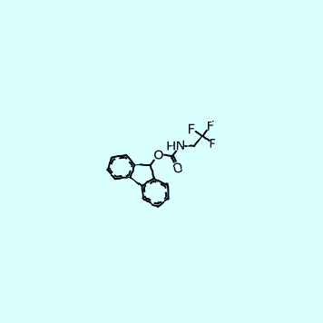 O=C(NCC(F)(F)F)OC1c2ccccc2-c2ccccc21